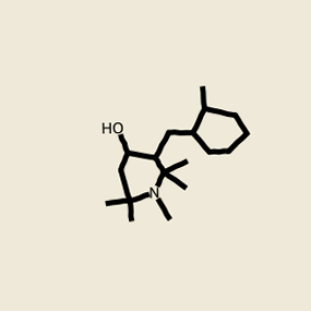 CC1CCCCC1CC1C(O)CC(C)(C)N(C)C1(C)C